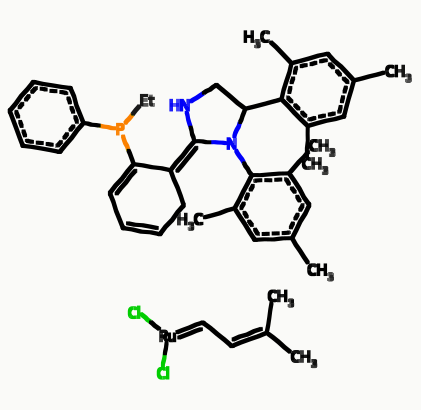 CC(C)=C[CH]=[Ru]([Cl])[Cl].CCP(C1=CC=CCC1=C1NCC(c2c(C)cc(C)cc2C)N1c1c(C)cc(C)cc1C)c1ccccc1